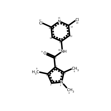 Cc1cn(C)c(C)c1C(=O)Nc1cc(Cl)nc(Cl)c1